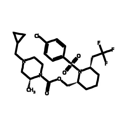 C[C@@H]1CN(CC2CC2)CCN1C(=O)OC[C@H]1CCC[C@@H](CC(F)(F)F)N1S(=O)(=O)c1ccc(Cl)cc1